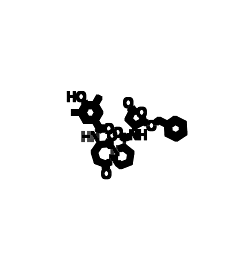 Cc1cc(C(=O)N[C@H]2CCC(=O)N3CCC[C@@H](C(=O)N[C@H]4CC(=O)OC4OCc4ccccc4)N3C2=O)cc(C)c1O